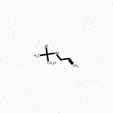 C=CCNC(C)(CC)C(=O)O